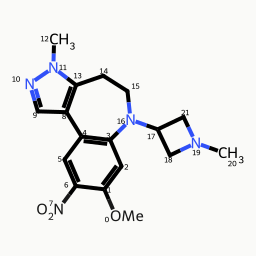 COc1cc2c(cc1[N+](=O)[O-])-c1cnn(C)c1CCN2C1CN(C)C1